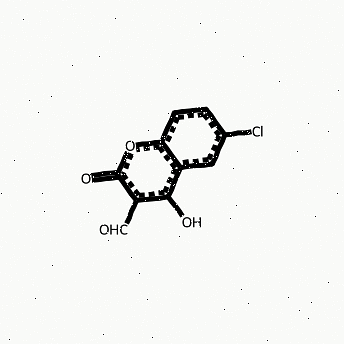 O=Cc1c(O)c2cc(Cl)ccc2oc1=O